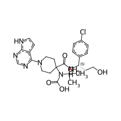 CC(C)(C)N(C(=O)O)C1(C(=O)N[C@@H](CCO)c2ccc(Cl)cc2)CCN(c2ncnc3[nH]ccc23)CC1